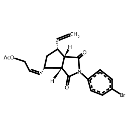 C=C[C@H]1C[C@@H](/C=C\COC(C)=O)[C@H]2C(=O)N(c3ccc(Br)cc3)C(=O)[C@H]21